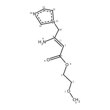 COCCOC(=O)/C=C(\N)Cn1ccnc1